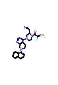 C=C(F)C(=O)N1CCN(c2ncnc3c2CCN(c2cccc4ccccc24)C3)CC1CC#N